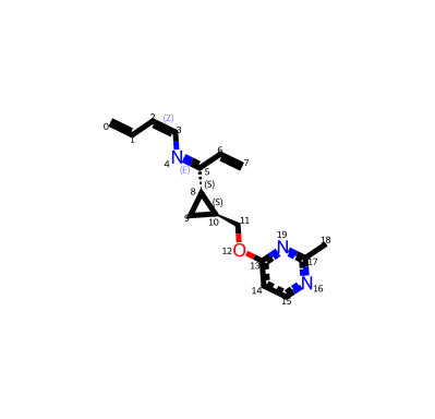 C=C/C=C\N=C(/C=C)[C@H]1C[C@@H]1COc1ccnc(C)n1